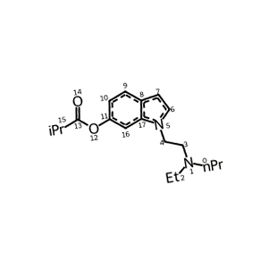 CCCN(CC)CCn1ccc2ccc(OC(=O)C(C)C)cc21